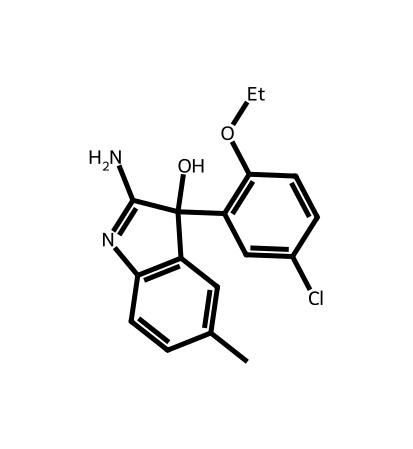 CCOc1ccc(Cl)cc1C1(O)C(N)=Nc2ccc(C)cc21